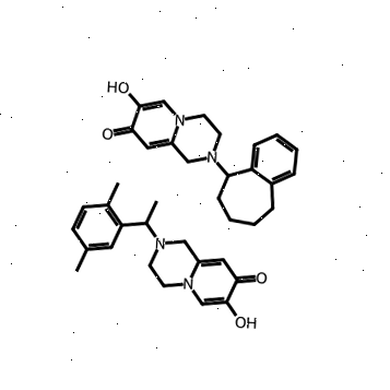 Cc1ccc(C)c(C(C)N2CCn3cc(O)c(=O)cc3C2)c1.O=c1cc2n(cc1O)CCN(C1CCCCc3ccccc31)C2